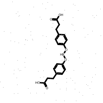 O=C(O)CCc1ccc(OBOc2ccc(CCC(=O)O)cc2)cc1